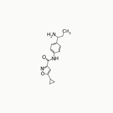 CCC(N)c1ccc(NC(=O)c2cc(C3CC3)on2)cc1